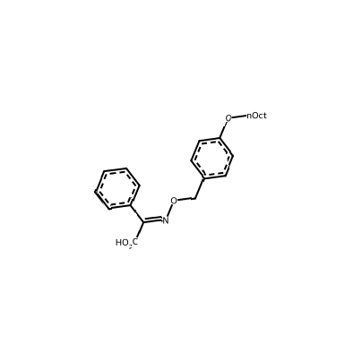 CCCCCCCCOc1ccc(CO/N=C(/C(=O)O)c2ccccc2)cc1